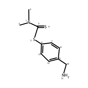 CN(C)C(=S)Sc1ccc(CN)cc1